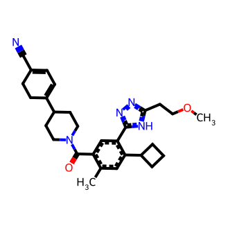 COCCc1nnc(-c2cc(C(=O)N3CCC(C4=CC=C(C#N)CC4)CC3)c(C)cc2C2CCC2)[nH]1